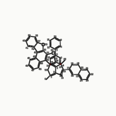 C/C1=C(c2ccc(-c3ccccc3)cc2)\N=C(\c2ccc3ccccc3c2)C(C)/C(C)=C(/c2c(Cl)c3oc4ccccc4c3c3ccccc23)C1